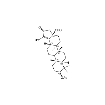 CC(=O)O[C@H]1CC[C@]2(C)C3CC[C@@H]4C5=C(C(C)C)C(=O)C[C@]5(C=O)CC[C@@]4(C)[C@]3(C)CC[C@H]2C1(C)C